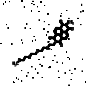 COCCOCCOCCOCCN1C(=O)c2ccc3c4c(ccc(c24)C1=O)C(=O)N(C)C3=O